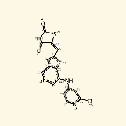 O=C1NC(=O)/C(=C\c2cc3cncc(Nc4ccnc(Cl)c4)c3o2)S1